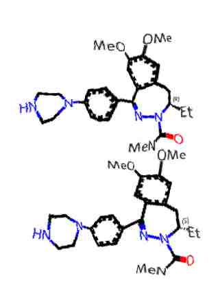 CC[C@@H]1Cc2cc(OC)c(OC)cc2C(c2ccc(N3CCNCC3)cc2)=NN1C(=O)NC.CC[C@H]1Cc2cc(OC)c(OC)cc2C(c2ccc(N3CCNCC3)cc2)=NN1C(=O)NC